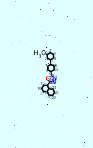 Cc1cccc(-c2ccc(-c3nnc(-c4cccc5ccccc45)o3)cc2)c1